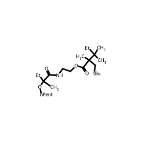 CCCCCOC(C)(CC)C(=O)NCCOC(=O)C(C)(CC(C)(C)C)C(C)(C)CC